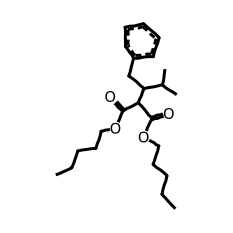 CCCCCOC(=O)C(C(=O)OCCCCC)C(Cc1ccccc1)C(C)C